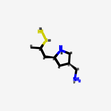 CC(C[C@@H]1C[C@@H](CN)CN1)SS